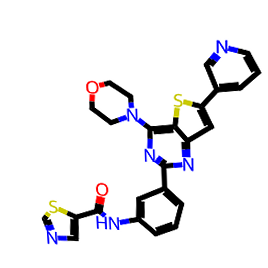 O=C(Nc1cccc(-c2nc(N3CCOCC3)c3sc(-c4cccnc4)cc3n2)c1)c1cncs1